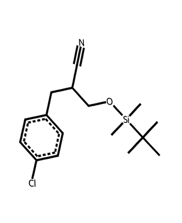 CC(C)(C)[Si](C)(C)OCC(C#N)Cc1ccc(Cl)cc1